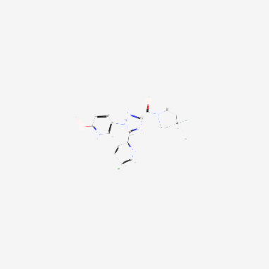 COc1ccc(-n2nc(C(=O)N3CCC(F)(F)CC3)nc2-c2ccc(Cl)cn2)cn1